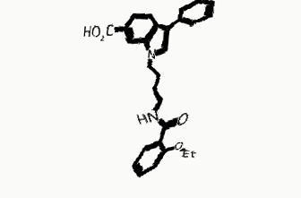 CCOc1ccccc1C(=O)NCCCCn1cc(-c2ccccc2)c2ccc(C(=O)O)cc21